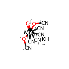 N#C[O][Mn](=[O])([C]#N)([C]#N)([C]#N)([C]#N)[O]C#N.[KH]